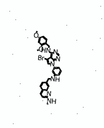 CNc1ccc2ccc(CNc3cccc(-n4cc(Br)c5c(NCc6ccc(OC)cc6OC)ncnc54)c3)cc2n1